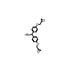 CCCCC(c1ccc(OCC2CO2)cc1)c1ccc(OCC2CO2)cc1